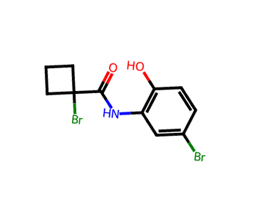 O=C(Nc1cc(Br)ccc1O)C1(Br)CCC1